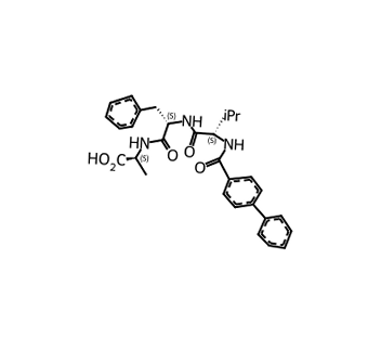 CC(C)[C@H](NC(=O)c1ccc(-c2ccccc2)cc1)C(=O)N[C@@H](Cc1ccccc1)C(=O)N[C@@H](C)C(=O)O